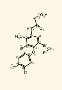 CCC.Cc1c(NC(=O)CC(=O)O)cc(Br)c(Oc2ccc(O)c(Cl)c2)c1Br